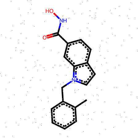 Cc1ccccc1Cn1ccc2ccc(C(=O)NO)cc21